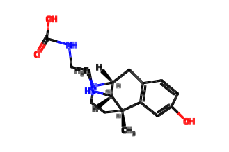 CN1CC[C@@]2(C)c3cc(O)ccc3C[C@@H]1[C@H]2NCCNC(=O)O